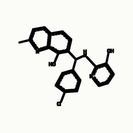 Cc1ccc2ccc(C(Nc3ncccc3O)c3ccc(Cl)cc3)c(O)c2n1